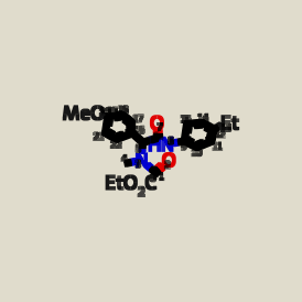 CCOC(=O)C(=O)N(C)C(C(=O)Nc1ccc(CC)cc1)c1ccc(OC)cc1